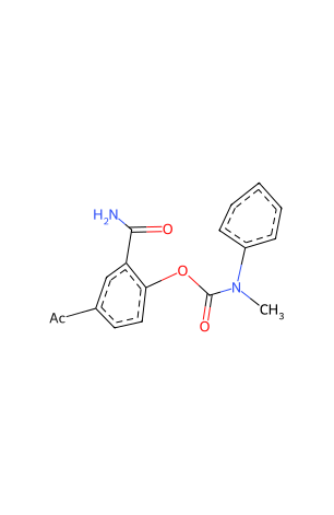 CC(=O)c1ccc(OC(=O)N(C)c2ccccc2)c(C(N)=O)c1